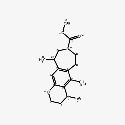 CCCN1CCOc2cc3c(c(C)c21)CCN(C(=O)OC(C)(C)C)CC3C